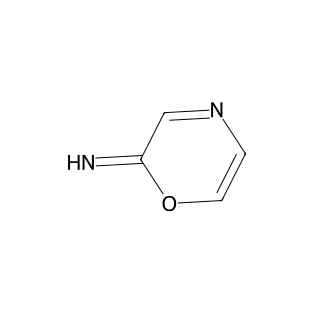 N=c1cncco1